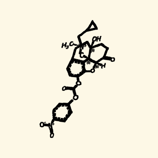 C[N@@+]1(CC2CC2)CC[C@]23c4c5ccc(OC(=O)Oc6ccc([N+](=O)[O-])cc6)c4O[C@H]2C(=O)CC[C@@]3(O)C1C5